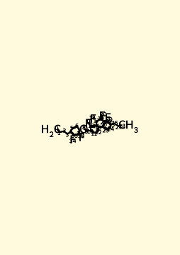 C=CCCc1ccc(OCc2ccc3c(c2F)C(F)C(F)c2c-3ccc(CCC)c2F)c(F)c1F